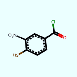 O=C(Cl)c1ccc(S)c([N+](=O)[O-])c1